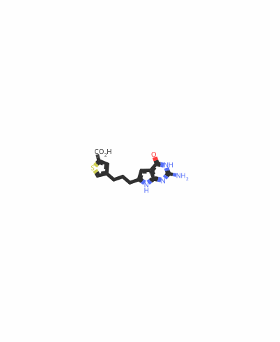 Nc1nc2[nH]c(CCCc3csc(C(=O)O)c3)cc2c(=O)[nH]1